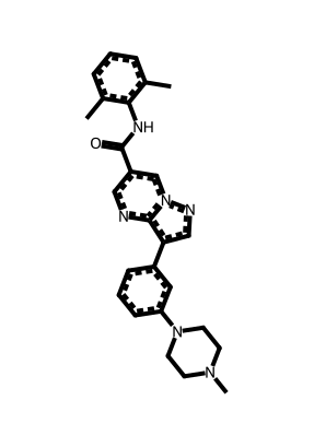 Cc1cccc(C)c1NC(=O)c1cnc2c(-c3cccc(N4CCN(C)CC4)c3)cnn2c1